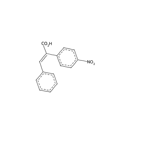 O=C(O)C(=Cc1ccccc1)c1ccc([N+](=O)[O-])cc1